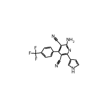 N#Cc1c(N)nc(-c2cc[nH]c2)c(C#N)c1-c1ccc(C(F)(F)F)cc1